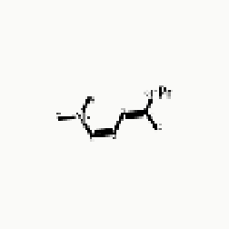 CCC/C(C)=C/C=C\N(C)C